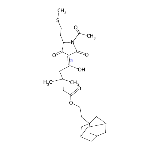 CSCCC1C(=O)/C(=C(/O)CC(C)(C)CC(=O)OCCC23CC4CC(CC(C4)C2)C3)C(=O)N1C(C)=O